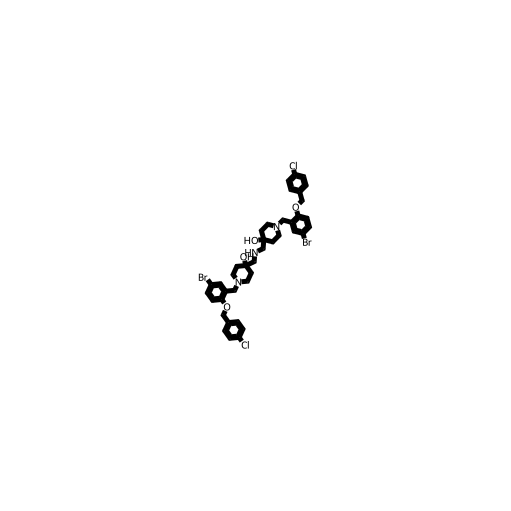 OC1(CNCC2(O)CCN(Cc3cc(Br)ccc3OCc3ccc(Cl)cc3)CC2)CCN(Cc2cc(Br)ccc2OCc2ccc(Cl)cc2)CC1